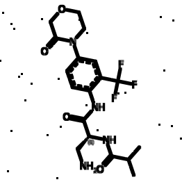 CC(C)C(=O)N[C@@H](CN)C(=O)Nc1ccc(N2CCOCC2=O)cc1C(F)(F)F